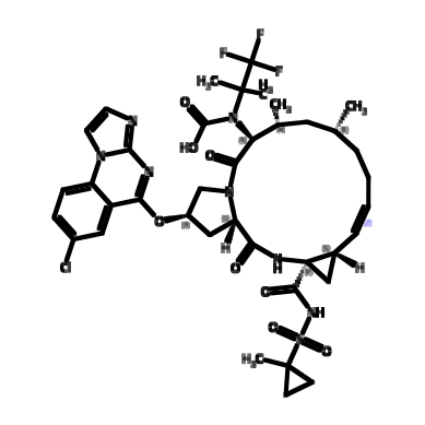 C[C@@H]1CC/C=C\[C@@H]2C[C@@]2(C(=O)NS(=O)(=O)C2(C)CC2)NC(=O)[C@@H]2C[C@@H](Oc3nc4nccn4c4ccc(Cl)cc34)CN2C(=O)[C@@H](N(C(=O)O)C(C)(C)C(F)(F)F)[C@H](C)C1